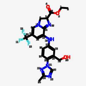 CCOC(=O)C1CN2C=C(C(F)(F)F)C=C(Nc3ccc(-n4cnc(C)n4)c(CO)c3)C2=N1